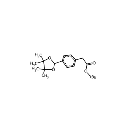 CC(C)(C)OC(=O)Cc1ccc(C2OC(C)(C)C(C)(C)O2)cc1